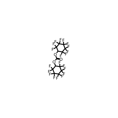 O=C(OC1C(F)(F)C(F)(F)C(F)(F)C(F)(F)C1(F)F)OC1C(F)(F)C(F)(F)C(F)(F)C(F)(F)C1(F)F